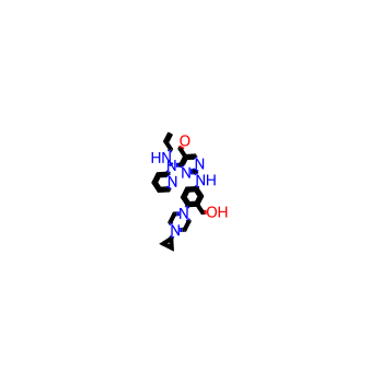 C=CCNN(c1ccccn1)c1nc(Nc2ccc(N3CCN(C4CC4)CC3)c(CO)c2)ncc1C=O